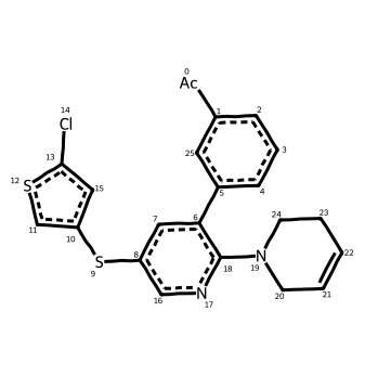 CC(=O)c1cccc(-c2cc(Sc3csc(Cl)c3)cnc2N2CC=CCC2)c1